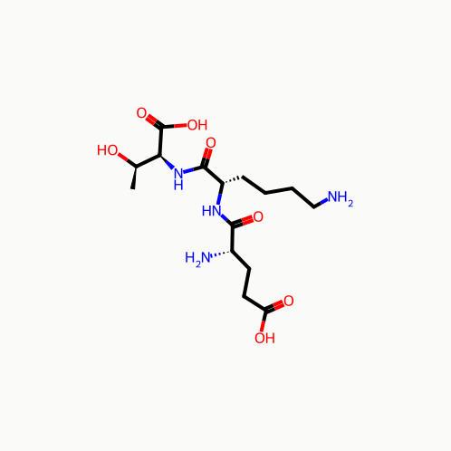 C[C@@H](O)[C@H](NC(=O)[C@H](CCCCN)NC(=O)[C@@H](N)CCC(=O)O)C(=O)O